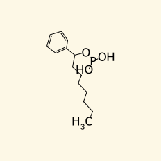 CCCCCCCC(OP(O)O)c1ccccc1